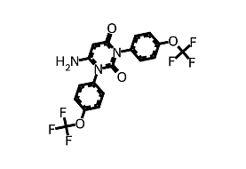 Nc1cc(=O)n(-c2ccc(OC(F)(F)F)cc2)c(=O)n1-c1ccc(OC(F)(F)F)cc1